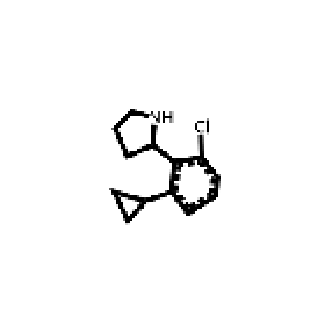 Clc1cccc(C2CC2)c1C1CCCN1